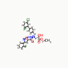 CCOC(=O)[C@H](O)CN(Cc1ccc(-c2cc(Cl)ccc2F)cc1)NC(=O)c1cc(-c2ccccc2F)no1